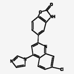 O=c1[nH]c2cc(-c3cc(-n4ccnc4)c4ccc(Cl)cc4n3)ccc2o1